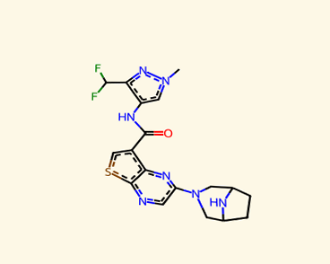 Cn1cc(NC(=O)c2csc3ncc(N4CC5CCC(C4)N5)nc23)c(C(F)F)n1